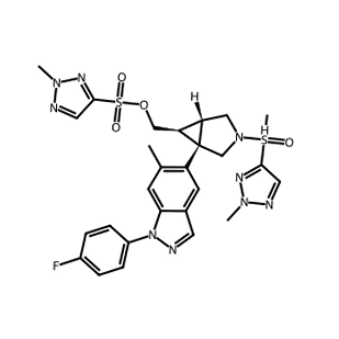 Cc1cc2c(cnn2-c2ccc(F)cc2)cc1[C@]12CN([SH](C)(=O)c3cnn(C)n3)C[C@H]1[C@@H]2COS(=O)(=O)c1cnn(C)n1